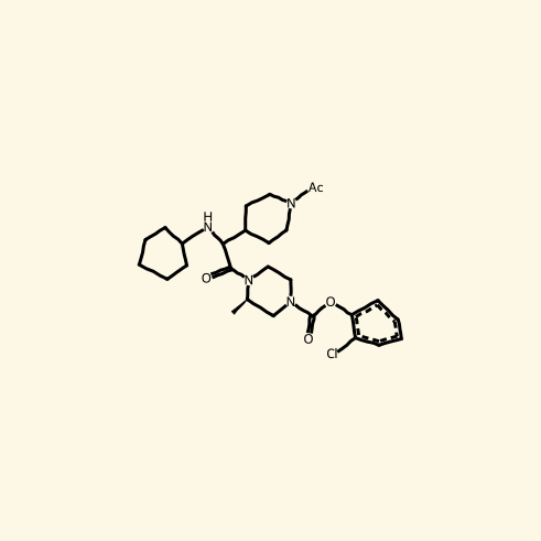 CC(=O)N1CCC(C(NC2CCCCC2)C(=O)N2CCN(C(=O)Oc3ccccc3Cl)C[C@H]2C)CC1